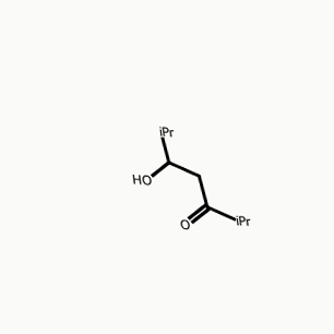 CC(C)C(=O)CC(O)C(C)C